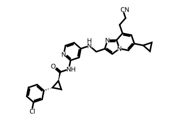 N#CCCc1cc(C2CC2)cn2cc(CNc3ccnc(NC(=O)[C@H]4C[C@@H]4c4cccc(Cl)c4)c3)nc12